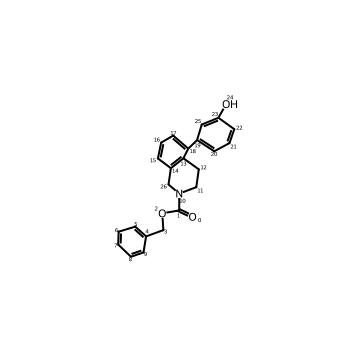 O=C(OCc1ccccc1)N1CCc2c(cccc2-c2cccc(O)c2)C1